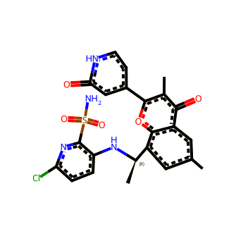 Cc1cc([C@@H](C)Nc2ccc(Cl)nc2S(N)(=O)=O)c2oc(-c3cc[nH]c(=O)c3)c(C)c(=O)c2c1